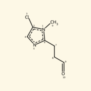 Cn1c(Cl)cnc1CCC=O